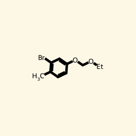 CCOCOc1ccc(C)c(Br)c1